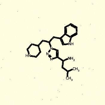 CC(C)CC(N)c1cn(C(Cc2c[nH]c3ccccc23)CC2CCNCC2)nn1